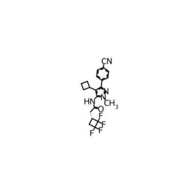 Cn1nc(-c2ccc(C#N)cc2)c(C2CCC2)c1NC(=O)C[C@H]1CC(F)(F)C1(F)F